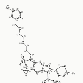 CNC(=O)c1c(C2=CC=C(F)CC2)oc2cc(N(CCCOCCOCc3cccc(C(C)=O)c3)S(C)(=O)=O)c(C3CC3)cc12